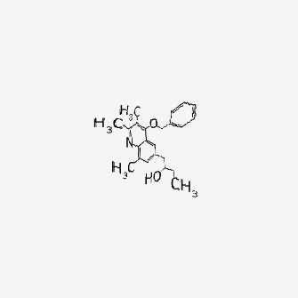 CCC(O)Cc1cc(C)c2nc(C)c(C)c(OCc3ccccc3)c2c1